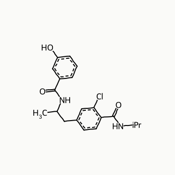 CC(C)NC(=O)c1ccc(CC(C)NC(=O)c2cccc(O)c2)cc1Cl